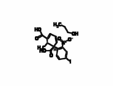 CC1C(C(=O)O)=CC=C[C@]1(C(=O)O)c1ccc(I)cc1[N+](=O)[O-].CCCO